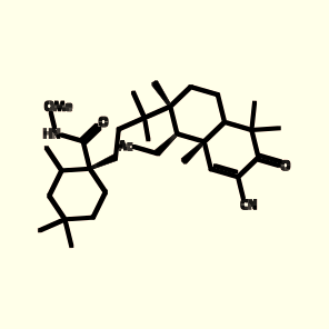 CONC(=O)[C@]1(CCC(C)(C)[C@]2(C)CCC3C(C)(C)C(=O)C(C#N)=C[C@]3(C)[C@H]2CC(C)=O)CCC(C)(C)CC1C